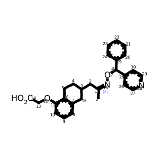 C/C(CC1CCc2c(cccc2OCC(=O)O)C1)=N/OC(c1ccccc1)c1ccncc1